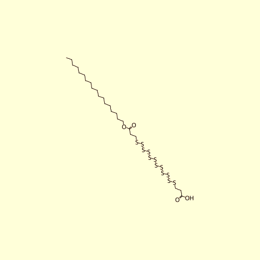 CCCCCCCCCCCCCCCCCCOC(=O)CCSSSSSSSSSSSSCCC(=O)O